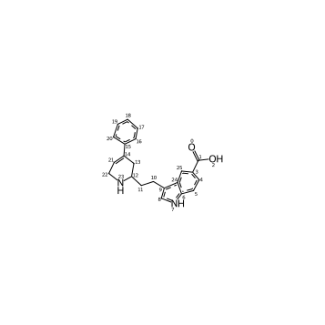 O=C(O)c1ccc2[nH]cc(CCC3CC(c4ccccc4)=CCN3)c2c1